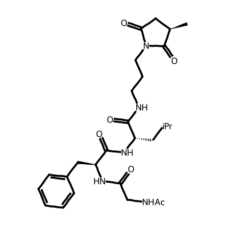 CC(=O)NCC(=O)N[C@@H](Cc1ccccc1)C(=O)N[C@@H](CC(C)C)C(=O)NCCCN1C(=O)C[C@@H](C)C1=O